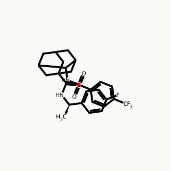 C[C@@H](NC(=O)C12CC3CC(C1)C(NS(=O)(=O)c1ccc(C(F)(F)F)cc1)C(C3)C2)c1ccc(F)cc1